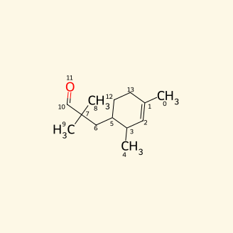 CC1=CC(C)C(CC(C)(C)C=O)CC1